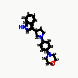 c1ccc2c(C3CCN(c4ccc(N5CCOCC5)cc4)C3)c[nH]c2c1